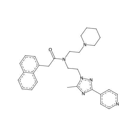 Cc1nc(-c2ccncc2)nn1CCN(CCN1CCCCC1)C(=O)Cc1cccc2ccccc12